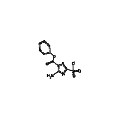 Nc1nc(S(=O)(=O)Cl)nn1C(=O)Oc1ccccc1